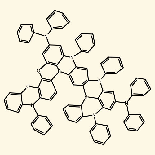 c1ccc(N(c2ccccc2)c2cc3c4c(c2)N(c2ccccc2)c2cc5c(cc2B4c2ccc4c(c2O3)Oc2ccccc2N4c2ccccc2)B2c3ccccc3N(c3ccccc3)c3cc(N(c4ccccc4)c4ccccc4)cc(c32)N5c2ccccc2)cc1